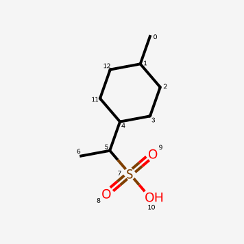 CC1CCC(C(C)S(=O)(=O)O)CC1